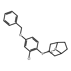 CN1C2CCC1CC(Sc1ccc(OCc3ccccc3)cc1Cl)C2